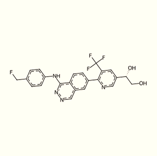 OC[C@@H](O)c1cnc(-c2ccc3c(Nc4ccc(CF)cc4)nncc3c2)c(C(F)(F)F)c1